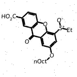 CCCCCCCCOc1cc([S+]([O-])CC)c2oc3ccc(C(=O)O)cc3c(=O)c2c1